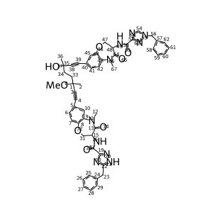 COC(C)(C#Cc1ccc2c(c1)N(C)C(=O)C(NC(=O)c1n[nH]c(Cc3ccccc3)n1)CO2)CCC(C)(O)C#Cc1ccc2c(c1)OCC(NC(=O)c1ncn(Cc3ccccc3)n1)C(=O)N2C